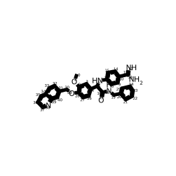 COc1cc(C(Nc2ccc(C(=N)N)cc2)C(=O)NCc2ccccc2)ccc1OCc1ccc2cccnc2c1